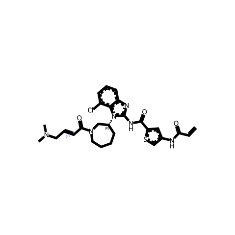 C=CC(=O)Nc1csc(C(=O)Nc2nc3cccc(Cl)c3n2[C@@H]2CCCCN(C(=O)/C=C/CN(C)C)C2)c1